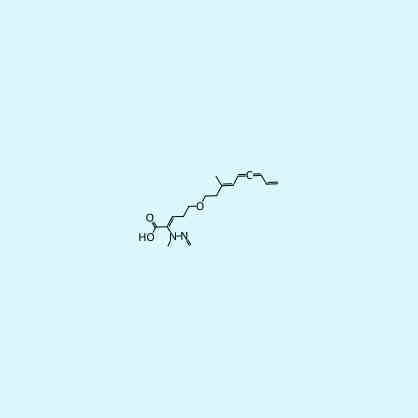 C=CC=C=C/C=C(\C)CCOCC/C=C(/C(=O)O)N(C)N=C